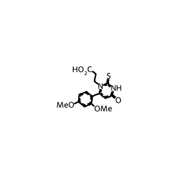 COc1ccc(-c2cc(=O)[nH]c(=S)n2CCC(=O)O)c(OC)c1